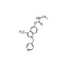 CNC(=O)Oc1ccc2c(c1)c(C)cn2Cc1ccncc1